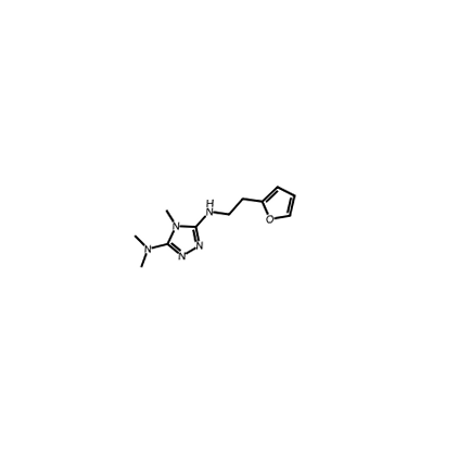 CN(C)c1nnc(NCCc2ccco2)n1C